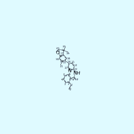 C=Cc1ccccc1C(=C)Nc1ccc(-c2cc3c(cc2C)OCC3(C)C)cn1